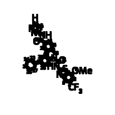 COc1cc(C(F)(F)F)cc2nc(NC(=O)N(Cc3ccc(C(=O)Nc4nn[nH]n4)cc3)c3ccc(C4=CCCCC4)cc3)sc12